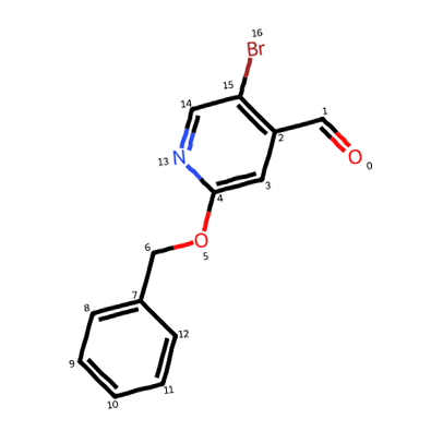 O=Cc1cc(OCc2ccccc2)ncc1Br